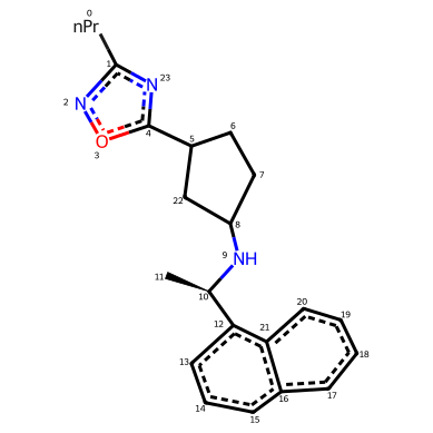 CCCc1noc(C2CCC(N[C@H](C)c3cccc4ccccc34)C2)n1